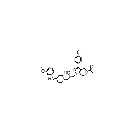 COc1cccc(NC2CCN(CC(O)Cn3nc(-c4ccc(Cl)cc4)c4c3CCN(C(C)=O)C4)CC2)c1